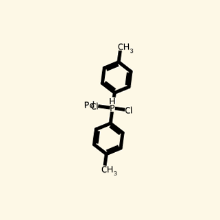 Cc1ccc([PH](Cl)(Cl)c2ccc(C)cc2)cc1.[Pd]